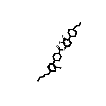 CCCCCc1ccc(C2CCC(C(=O)Oc3ccc(C4CCC(CCC)CC4)c(F)c3F)CC2)c(F)c1